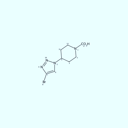 O=C(O)N1CCC(n2cc(Br)nn2)CC1